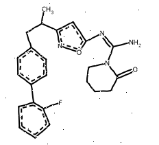 CC(Cc1ccc(-c2ccccc2F)cc1)c1cc(N=C(N)N2CCCCC2=O)on1